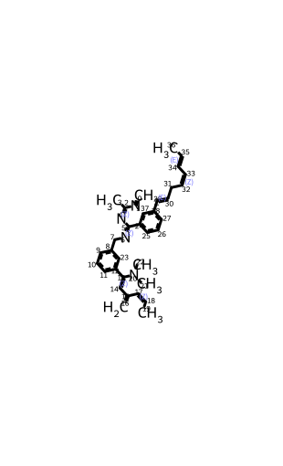 C=N/C(C)=N\C(=N/Cc1cccc(/C(=C/C(=C)/C=C\C)N(C)C)c1)c1cccc(/C=C/C/C=C\C=C\C)c1